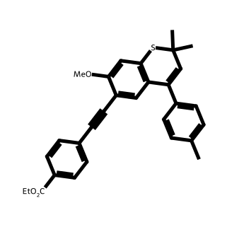 CCOC(=O)c1ccc(C#Cc2cc3c(cc2OC)SC(C)(C)C=C3c2ccc(C)cc2)cc1